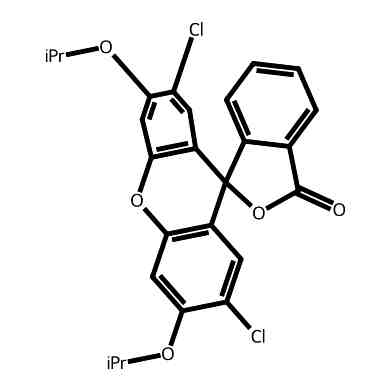 CC(C)Oc1cc2c(cc1Cl)C1(OC(=O)c3ccccc31)c1cc(Cl)c(OC(C)C)cc1O2